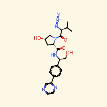 CC(C)[C@H](N=[N+]=[N-])C(=O)N1C[C@H](O)C[C@H]1C(=O)N[C@@H](CO)c1ccc(-c2cnccn2)cc1